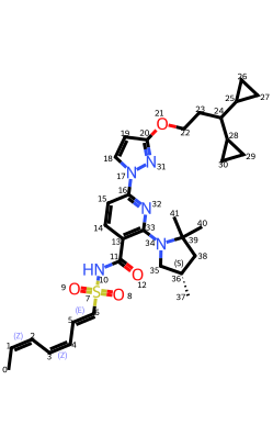 C\C=C/C=C\C=C\S(=O)(=O)NC(=O)c1ccc(-n2ccc(OCCC(C3CC3)C3CC3)n2)nc1N1C[C@@H](C)CC1(C)C